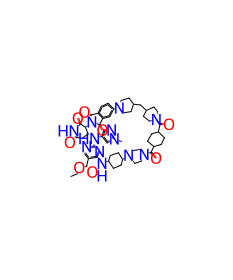 CCOC(=O)c1cnc(Nc2cnn(C)c2)nc1NC1CCC(N2CCN(C(=O)C3CCC(C(=O)N4CCC(CC5CCN(c6ccc7c(c6)C(=O)N(C6CCC(=O)NC6=O)C7=O)CC5)CC4)CC3)CC2)CC1